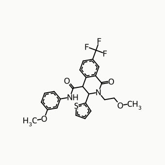 COCCN1C(=O)c2cc(C(F)(F)F)ccc2C(C(=O)Nc2cccc(OC)c2)C1c1cccs1